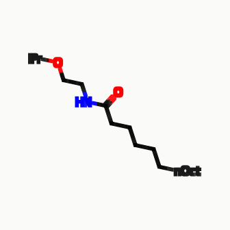 CCCCCCCCCCCCCC(=O)NCCOC(C)C